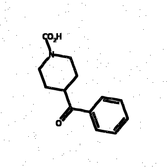 O=C(c1ccccc1)C1CCN(C(=O)O)CC1